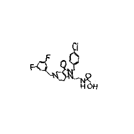 C[C@H](O)C(=O)NCCn1c2c(c(=O)n1Cc1ccc(Cl)cc1)CN(Cc1cc(F)cc(F)c1)CC2